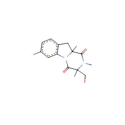 CN1C(=O)C2(C)Cc3ccc([N+](=O)[O-])cc3N2C(=O)C1(C)CO